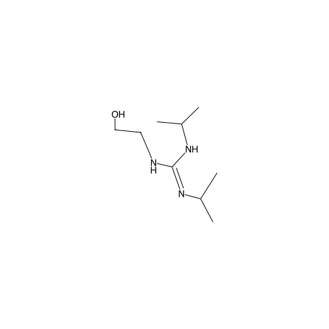 CC(C)/N=C(/NCCO)NC(C)C